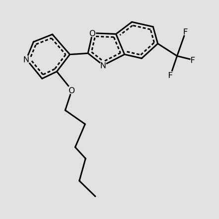 CCCCCCOc1cnccc1-c1nc2cc(C(F)(F)F)ccc2o1